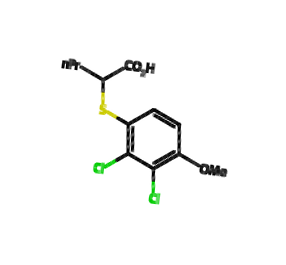 CCCC(Sc1ccc(OC)c(Cl)c1Cl)C(=O)O